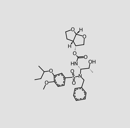 CCC(C)Oc1cc(S(=O)(=O)N(Cc2ccccc2)[C@H](NC(=O)O[C@H]2CO[C@H]3OCC[C@H]32)[C@@H](C)O)ccc1OC